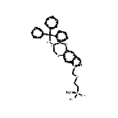 C[Si](C)(C)CCOCn1ncc2cc3c(cc21)OC[C@@H](NC(c1ccccc1)(c1ccccc1)c1ccccc1)CN3